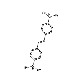 CC(C)[SiH](c1ccc(C=Cc2ccc([SiH](C(C)C)C(C)C)cc2)cc1)C(C)C